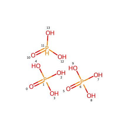 O=P(O)(O)O.O=P(O)(O)O.O=[PH](O)O